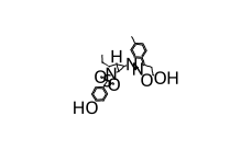 CC[C@H]1[C@H]2C([C@@H]2n2nc(CC(=O)O)c3ccc(C)cc32)N1S(=O)(=O)c1ccc(O)cc1